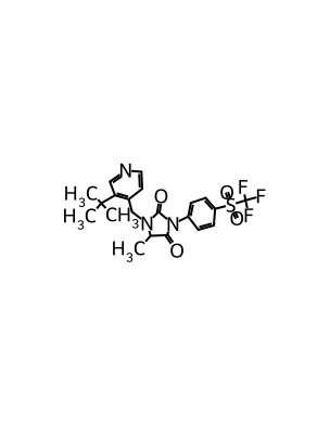 CC1C(=O)N(c2ccc(S(=O)(=O)C(F)(F)F)cc2)C(=O)N1Cc1ccncc1C(C)(C)C